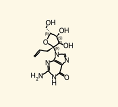 C=CC[C@@]1(n2cnc3c(=O)[nH]c(N)nc32)O[C@H](CO)[C@@H](O)[C@H]1O